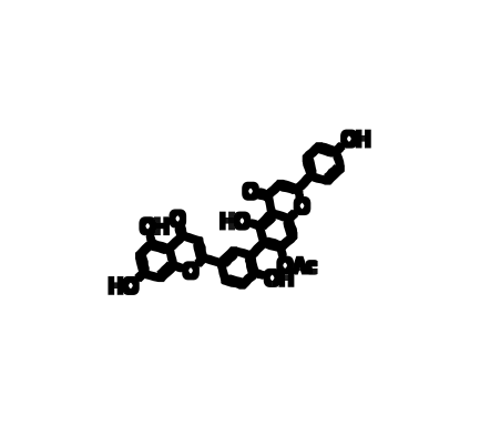 CC(=O)Oc1cc2oc(-c3ccc(O)cc3)cc(=O)c2c(O)c1-c1cc(-c2cc(=O)c3c(O)cc(O)cc3o2)ccc1O